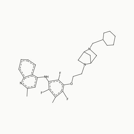 Cc1cc(Nc2c(F)c(C)c(F)c(OCCN3CC4CC3CN4CC3CCCCC3)c2F)c2ccccc2n1